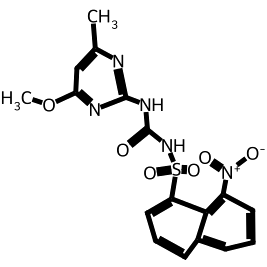 COc1cc(C)nc(NC(=O)NS(=O)(=O)c2cccc3cccc([N+](=O)[O-])c23)n1